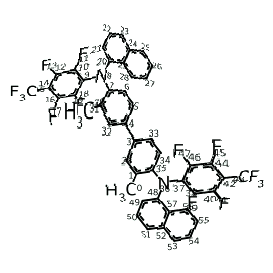 Cc1cc(-c2ccc(N(c3c(F)c(F)c(C(F)(F)F)c(F)c3F)c3cccc4ccccc34)c(C)c2)ccc1N(c1c(F)c(F)c(C(F)(F)F)c(F)c1F)c1cccc2ccccc12